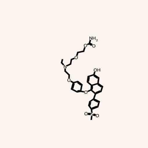 CCN(CCOCCOC(N)=O)CCOc1ccc(Oc2c(-c3ccc(S(C)(=O)=O)cc3)ccc3cc(O)ccc23)cc1